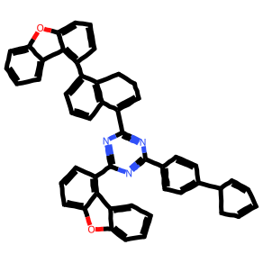 C1=CCC(c2ccc(-c3nc(C4=CCCc5c4cccc5-c4cccc5oc6ccccc6c45)nc(-c4cccc5oc6ccccc6c45)n3)cc2)C=C1